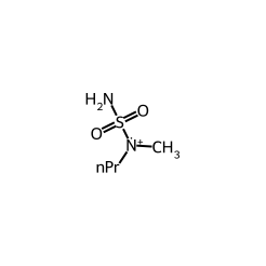 CCC[N+](C)S(N)(=O)=O